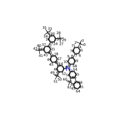 CC(C)(C)c1ccc(-c2ccc(N(c3cc(-c4ccc(-c5cc(-c6cc(C(C)(C)C)cc(C(C)(C)C)c6)cc(C(C)(C)C)c5)cc4)cc(C(C)(C)C)c3)c3ccc4c(c3)C(C)(C)c3ccccc3-4)cc2)cc1